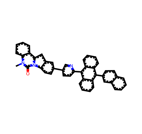 Cn1c(=O)n2c3ccc(-c4ccc(-c5c6ccccc6c(-c6ccc7ccccc7c6)c6ccccc56)nc4)cc3cc2c2ccccc21